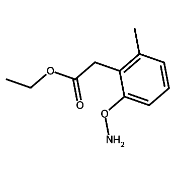 CCOC(=O)Cc1c(C)cccc1ON